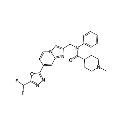 CN1CCC(C(=O)N(Cc2cn3ccc(-c4nnc(C(F)F)o4)cc3n2)c2ccccc2)CC1